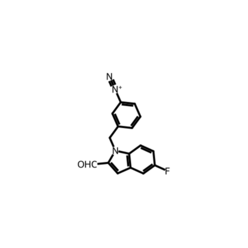 N#[N+]c1cccc(Cn2c(C=O)cc3cc(F)ccc32)c1